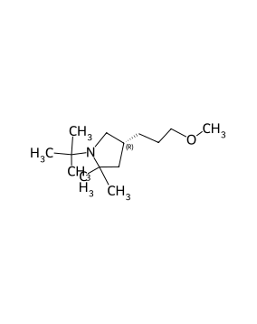 COCCC[C@H]1CN(C(C)(C)C)C(C)(C)C1